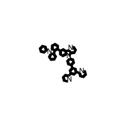 c1ccc(-n2c3ccccc3c3c(-c4ccc5c(c4)c4ncccc4n5-c4ccc(-c5cc(-c6ccccn6)cc(-c6ccccn6)c5)cc4)cccc32)cc1